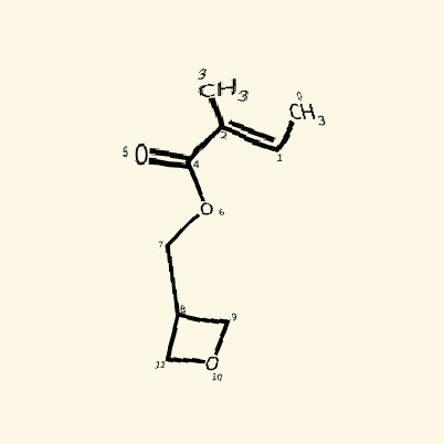 CC=C(C)C(=O)OCC1COC1